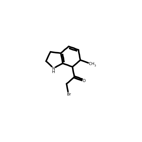 CC1C=CC2=C(NCC2)C1C(=O)CBr